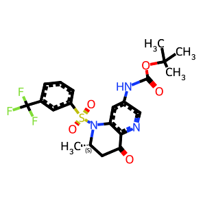 C[C@H]1CC(=O)c2ncc(NC(=O)OC(C)(C)C)cc2N1S(=O)(=O)c1cccc(C(F)(F)F)c1